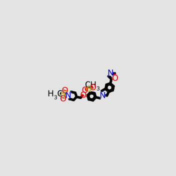 CS(=O)(=O)c1cc(CN2Cc3ccc(-c4cnco4)cc3C2)ccc1OCC1CCN(S(C)(=O)=O)CC1